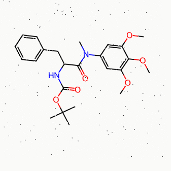 COc1cc(N(C)C(=O)C(Cc2ccccc2)NC(=O)OC(C)(C)C)cc(OC)c1OC